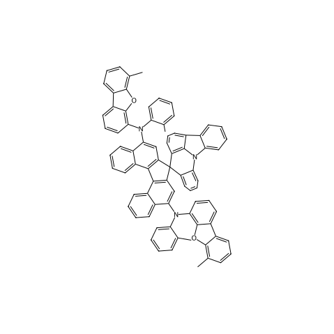 Cc1ccccc1N(c1cc2c(c3ccccc13)-c1c(cc(N(c3ccccc3C)c3cccc4c3oc3c(C)cccc34)c3ccccc13)C21c2ccccc2-n2c3ccccc3c3cccc1c32)c1cccc2c1oc1c(C)cccc12